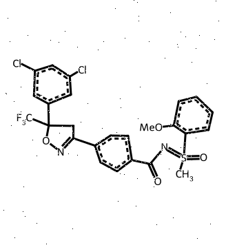 COc1ccccc1S(C)(=O)=NC(=O)c1ccc(C2=NOC(c3cc(Cl)cc(Cl)c3)(C(F)(F)F)C2)cc1